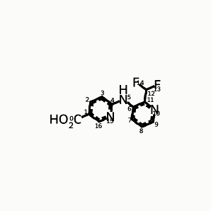 O=C(O)c1ccc(Nc2cccnc2C(F)F)nc1